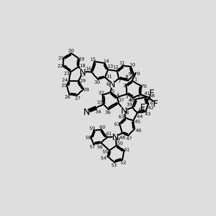 Cc1cc(-c2c(-n3c4ccccc4c4ccc(-n5c6ccccc6c6ccccc65)cc43)cc(C#N)cc2-n2c3ccccc3c3ccc(-n4c5ccccc5c5ccccc54)cc32)cc(C(F)(F)F)c1